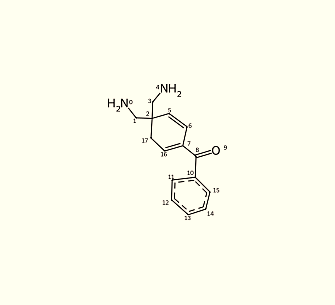 NCC1(CN)C=CC(C(=O)c2ccccc2)=CC1